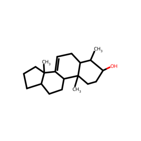 CC1C(O)CCC2(C)C3CCC4CCCC4(C)C3=CCC12